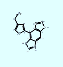 CC(C)Cc1csc(-c2c3nnsc3cc3nnsc23)c1